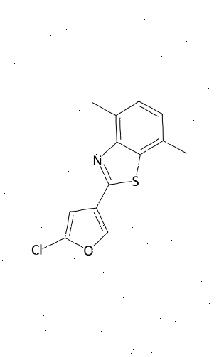 Cc1ccc(C)c2sc(-c3coc(Cl)c3)nc12